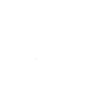 O=S(=O)(Nc1ccc(Oc2nccnc2-c2ccnc(N[C@H]3CCCNC3)n2)c2ccccc12)c1ccccc1Cl